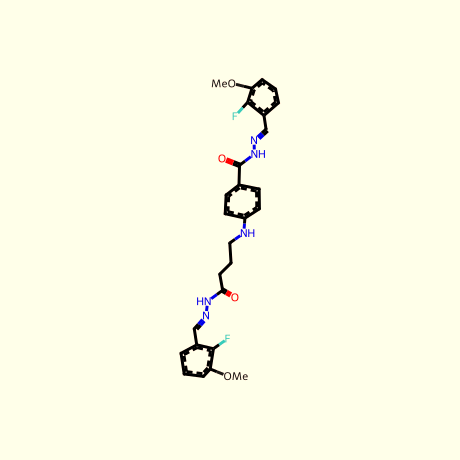 COc1cccc(C=NNC(=O)CCCNc2ccc(C(=O)NN=Cc3cccc(OC)c3F)cc2)c1F